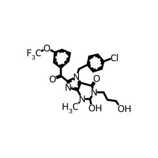 CN1c2nc(C(=O)c3cccc(OC(F)(F)F)c3)n(Cc3ccc(Cl)cc3)c2C(=O)N(CCCO)C1O